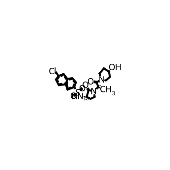 C[C@@H](C(=O)N1CCC(O)CC1)N1CC[C@H](NS(=O)(=O)c2ccc3cc(Cl)ccc3c2)C1=O